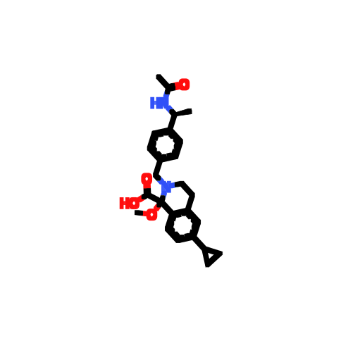 COC1(C(=O)O)c2ccc(C3CC3)cc2CCN1Cc1ccc([C@H](C)NC(C)=O)cc1